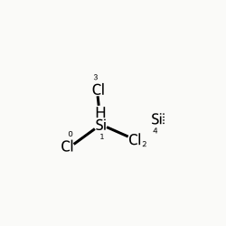 Cl[SiH](Cl)Cl.[Si]